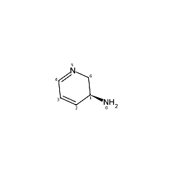 N[C@H]1C=CC=NC1